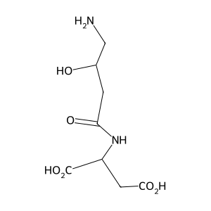 NCC(O)CC(=O)NC(CC(=O)O)C(=O)O